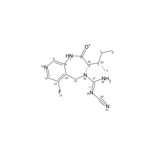 CC[C@H](C)[C@H]1C(=O)Nc2cncc(F)c2CN1/C(N)=N/C#N